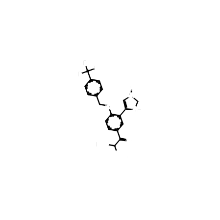 CC(C)C(=O)c1ccc(NCc2ccc(C(F)(F)F)cc2)c(C2=CN(C)CN2)c1